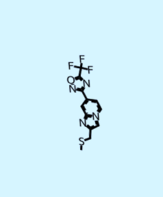 CSCc1cn2ccc(-c3noc(C(F)(F)F)n3)cc2n1